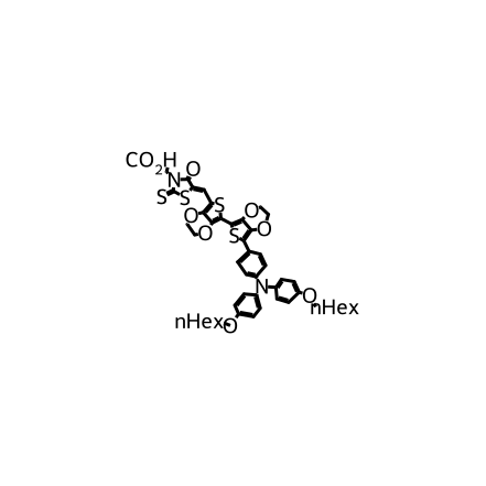 CCCCCCOc1ccc(N(c2ccc(OCCCCCC)cc2)c2ccc(-c3sc(-c4sc(/C=C5\SC(=S)N(CC(=O)O)C5=O)c5c4OCCO5)c4c3OCCO4)cc2)cc1